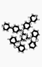 c1ccc2c(c1)Oc1ccccc1N2c1nc(N(c2ccc(-c3ccncc3)cc2)c2ccc(-c3ccncc3)cc2)nc(N2c3ccccc3Oc3ccccc32)n1